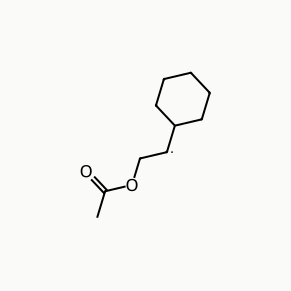 CC(=O)OC[CH]C1CCCCC1